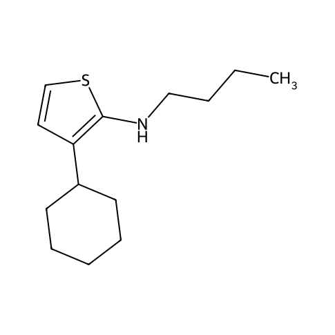 CCCCNc1sccc1C1CCCCC1